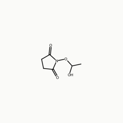 CC(O)ON1C(=O)CCC1=O